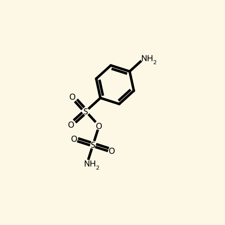 Nc1ccc(S(=O)(=O)OS(N)(=O)=O)cc1